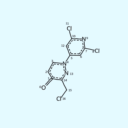 O=c1ccn(-c2cc(Cl)nc(Cl)c2)nc1CCl